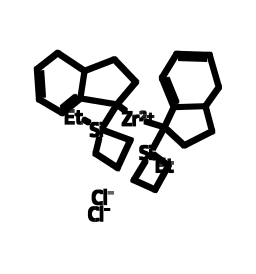 CC[Si]1([C]2([Zr+2][C]3([Si]4(CC)CCC4)CCC4CC=CC=C43)CCC3CC=CC=C32)CCC1.[Cl-].[Cl-]